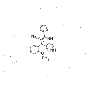 COc1ccccc1C1C(C#N)=C(c2cccs2)Nc2n[nH]cc21